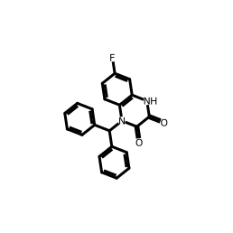 O=c1[nH]c2cc(F)ccc2n(C(c2ccccc2)c2ccccc2)c1=O